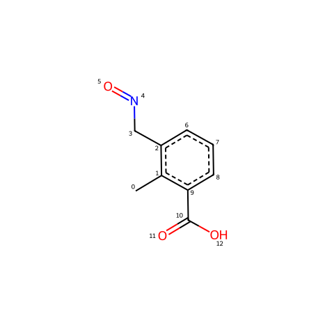 Cc1c(CN=O)cccc1C(=O)O